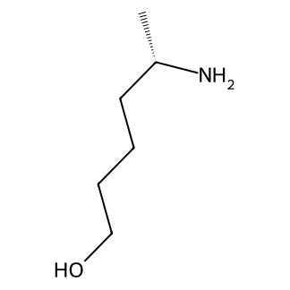 C[C@H](N)CCCCO